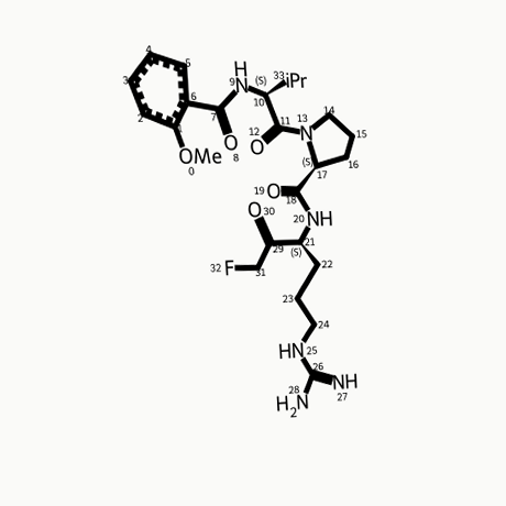 COc1ccccc1C(=O)N[C@H](C(=O)N1CCC[C@H]1C(=O)N[C@@H](CCCNC(=N)N)C(=O)CF)C(C)C